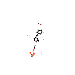 CCS(=O)(=O)CC(O)COc1ccc(C(C)(C)c2cc(Cl)c(OCC(O)CCl)c(Cl)c2)cc1